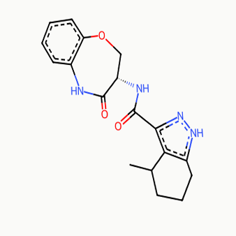 CC1CCCc2[nH]nc(C(=O)N[C@H]3COc4ccccc4NC3=O)c21